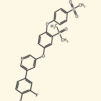 CP(C)(=O)c1cc(Oc2cncc(-c3ccc(F)c(F)c3)c2)ccc1Oc1ccc(S(C)(=O)=O)cc1